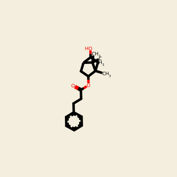 CC1(C)C2CC(OC(=O)CCc3ccccc3)C1(C)CC2O